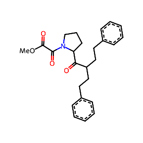 COC(=O)C(=O)N1CCCC1C(=O)C(CCc1ccccc1)CCc1ccccc1